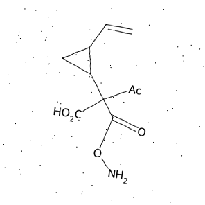 C=CC1CC1C(C(C)=O)(C(=O)O)C(=O)ON